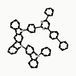 c1ccc(-c2ccc(-c3cc(-c4ccccc4)nc(-c4ccc(-n5c6ccccc6c6cc7c8ccccc8n(-c8ccc9c(c8)c8ccccc8n9-c8ccccc8)c7cc65)cc4)n3)cc2)cc1